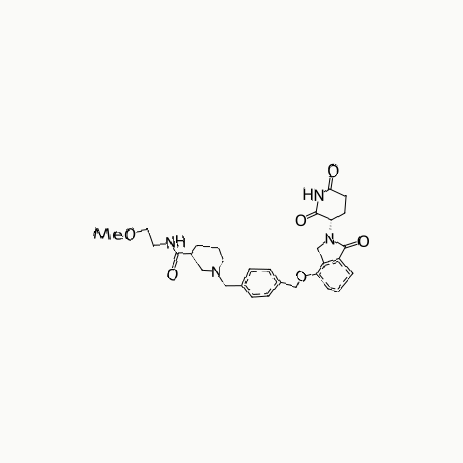 COCCNC(=O)C1CCCN(Cc2ccc(COc3cccc4c3CN([C@H]3CCC(=O)NC3=O)C4=O)cc2)C1